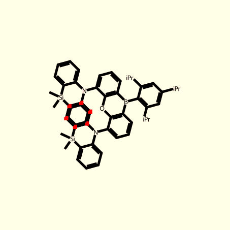 CC(C)c1cc(C(C)C)c(B2c3cccc(N4c5ccccc5[Si](C)(C)c5ccccc54)c3Oc3c2cccc3N2c3ccccc3[Si](C)(C)c3ccccc32)c(C(C)C)c1